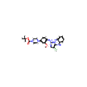 COc1cc(N2CCN(C(=O)OC(C)(C)C)CC2)ccc1Nc1ncc(Br)c(Nc2ccccc2N)n1